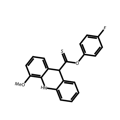 COc1cccc2c1Nc1ccccc1C2C(=S)Oc1ccc(F)cc1